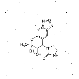 CC1(C)Oc2cc3nonc3cc2C(N2CCNC2=O)C1O